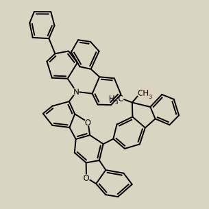 CC1(C)c2ccccc2-c2ccc(-c3c4oc5c(N(c6ccc(-c7ccccc7)cc6)c6ccccc6-c6ccccc6)cccc5c4cc4oc5ccccc5c34)cc21